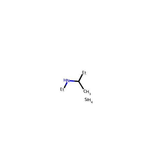 CCNC(C)CC.[SiH4]